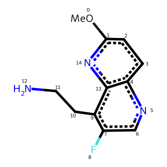 COc1ccc2ncc(F)c(CCN)c2n1